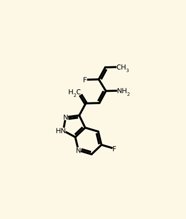 C=C(/C=C(N)\C(F)=C/C)c1n[nH]c2ncc(F)cc12